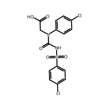 O=C(O)CN(C(=O)NS(=O)(=O)c1ccc(Cl)cc1)c1ccc(Cl)cc1